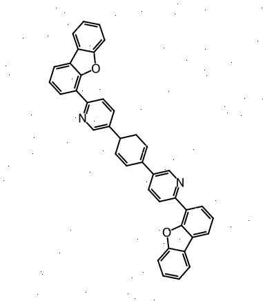 C1=CC(c2ccc(-c3cccc4c3oc3ccccc34)nc2)CC=C1c1ccc(-c2cccc3c2oc2ccccc23)nc1